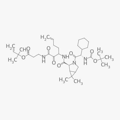 C=CCCC(NC(=O)[C@@H]1C2C(CN1C(=O)[C@@H](NC(=O)OC(C)(C)C)C1CCCCC1)C2(C)C)C(=O)C(=O)NCCC(=O)OC(C)(C)C=C